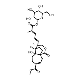 COC(=O)C1=CC[C@@]23CC[C@@H]([C@@](C)(/C=C/C=C(\C)C(=O)O[C@H]4O[C@H](CO)[C@@H](O)[C@H](O)[C@H]4O)COC2=O)[C@@]3(O)CC1